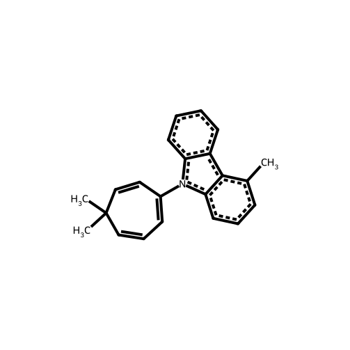 Cc1cccc2c1c1ccccc1n2C1=CC=CC(C)(C)C=C1